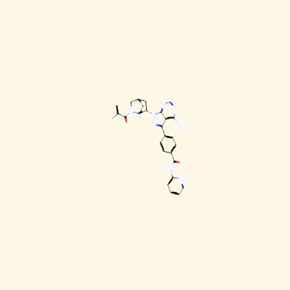 C=C(C)C(=O)N1C[C@H]2CC(n3nc(-c4ccc(C(=O)Nc5ccccn5)cc4)c4c(N)ncnc43)[C@H]1C2